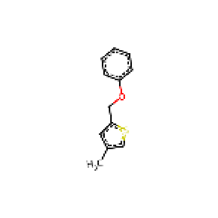 Cc1csc(COc2ccccc2)c1